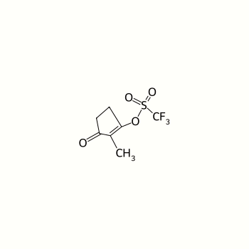 CC1=C(OS(=O)(=O)C(F)(F)F)CCC1=O